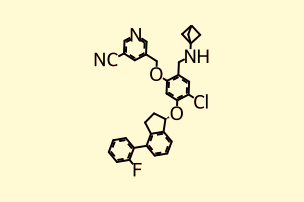 N#Cc1cncc(COc2cc(O[C@H]3CCc4c(-c5ccccc5F)cccc43)c(Cl)cc2CNC23CC(C2)C3)c1